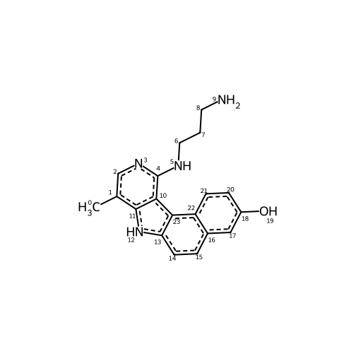 Cc1cnc(NCCCN)c2c1[nH]c1ccc3cc(O)ccc3c12